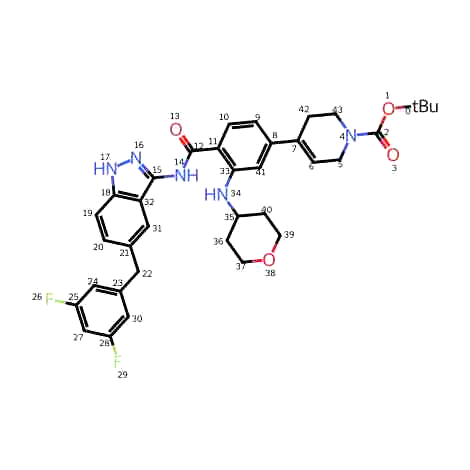 CC(C)(C)OC(=O)N1CC=C(c2ccc(C(=O)Nc3n[nH]c4ccc(Cc5cc(F)cc(F)c5)cc34)c(NC3CCOCC3)c2)CC1